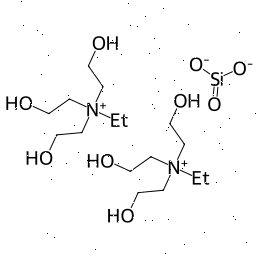 CC[N+](CCO)(CCO)CCO.CC[N+](CCO)(CCO)CCO.O=[Si]([O-])[O-]